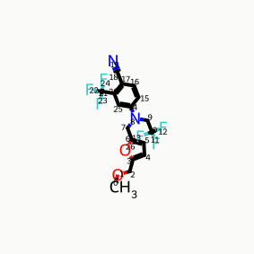 COCc1ccc(CN(CC(F)(F)F)c2ccc(C#N)c(C(F)(F)F)c2)o1